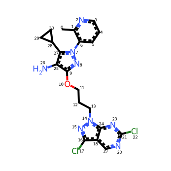 Cc1ncccc1-n1nc(OCCCn2nc(Cl)c3cnc(Cl)nc32)c(N)c1C1CC1